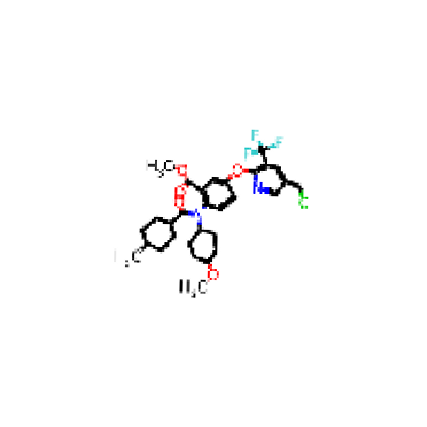 COC(=O)c1cc(Oc2ncc(CCl)cc2C(F)(F)F)ccc1N(C(=O)C1CCC(C)CC1)C1CCC(OC)CC1